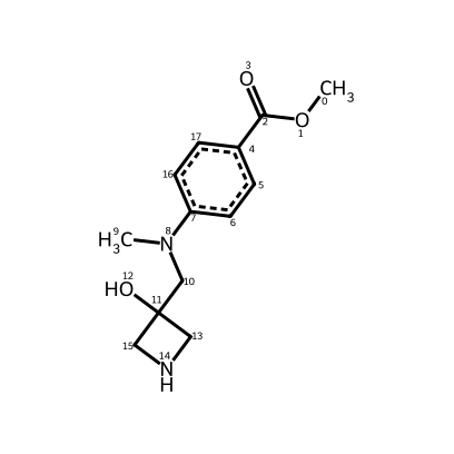 COC(=O)c1ccc(N(C)CC2(O)CNC2)cc1